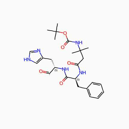 CC(C)(CC(=O)N[C@@H](Cc1ccccc1)C(=O)N[C@H]([C]=O)Cc1c[nH]cn1)NC(=O)OC(C)(C)C